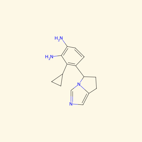 Nc1ccc(C2CCc3cncn32)c(C2CC2)c1N